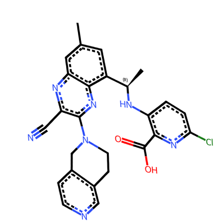 Cc1cc([C@@H](C)Nc2ccc(Cl)nc2C(=O)O)c2nc(N3CCc4cnccc4C3)c(C#N)nc2c1